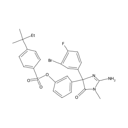 CCC(C)(C)c1ccc(S(=O)(=O)Oc2cccc(C3(c4ccc(F)c(Br)c4)N=C(N)N(C)C3=O)c2)cc1